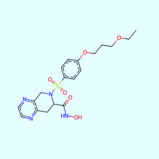 CCOCCCOc1ccc(S(=O)(=O)N2Cc3nccnc3CC2C(=O)NO)cc1